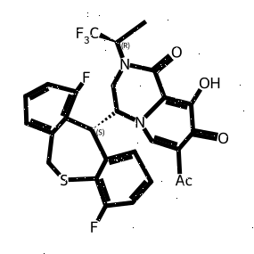 CC(=O)c1cn2c(c(O)c1=O)C(=O)N([C@H](C)C(F)(F)F)CC2[C@@H]1c2cccc(F)c2SCc2cccc(F)c21